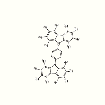 [2H]c1c([2H])c([2H])c2c(c1[2H])c1c([2H])c([2H])c([2H])c([2H])c1n2-c1ccc(-n2c3c([2H])c([2H])c([2H])c([2H])c3c3c([2H])c([2H])c([2H])c([2H])c32)cc1